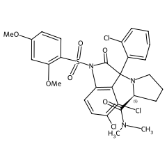 COc1ccc(S(=O)(=O)N2C(=O)C(c3ccccc3Cl)(N3CCC[C@H]3C(=O)N(C)C)c3c2ccc(Cl)c3Cl)c(OC)c1